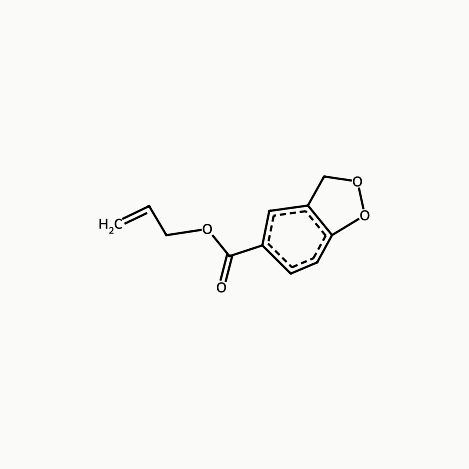 C=CCOC(=O)c1ccc2c(c1)COO2